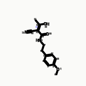 COc1ccc(CCNC(=O)/C(C#N)=C(/C)O)cc1